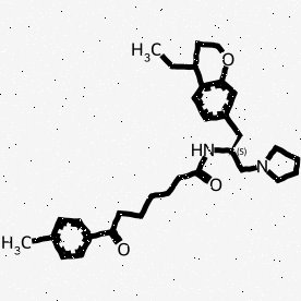 CCC1CCOc2cc(C[C@@H](CN3CCCC3)NC(=O)CCCCCC(=O)c3ccc(C)cc3)ccc21